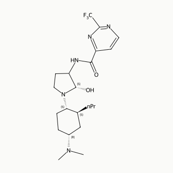 CCC[C@H]1C[C@H](N(C)C)CC[C@@H]1N1CCC(NC(=O)c2ccnc(C(F)(F)F)n2)[C@@H]1O